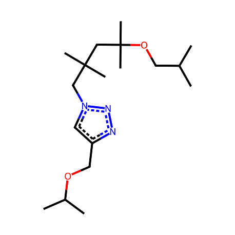 CC(C)COC(C)(C)CC(C)(C)Cn1cc(COC(C)C)nn1